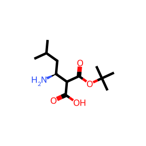 CC(C)C[C@H](N)C(C(=O)O)C(=O)OC(C)(C)C